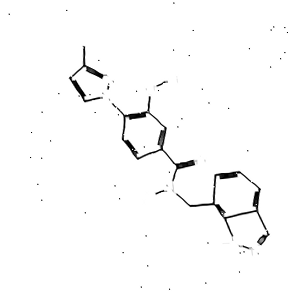 CCOc1cc(C(=O)N(C)Cc2cccc3cn[nH]c23)ccc1-n1ccc(F)n1